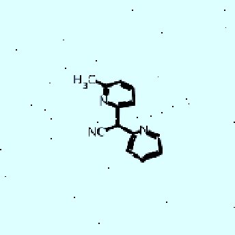 Cc1cccc(C(C#N)c2ccccn2)n1